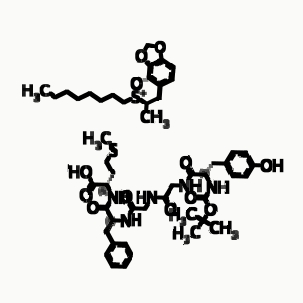 CCCCCCCC[S+]([O-])C(C)Cc1ccc2c(c1)OCO2.CSCC[C@H](NC(=O)[C@H](Cc1ccccc1)NC(=O)CNC(=O)CNC(=O)[C@H](Cc1ccc(O)cc1)NC(=O)OC(C)(C)C)C(=O)O